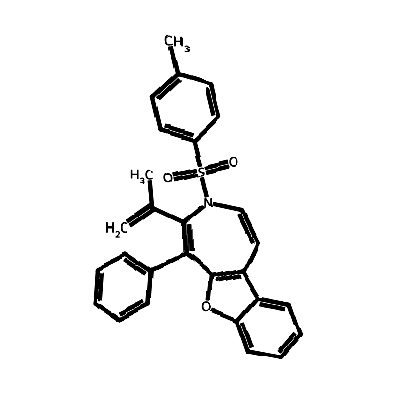 C=C(C)C1=C(c2ccccc2)c2oc3ccccc3c2C=CN1S(=O)(=O)c1ccc(C)cc1